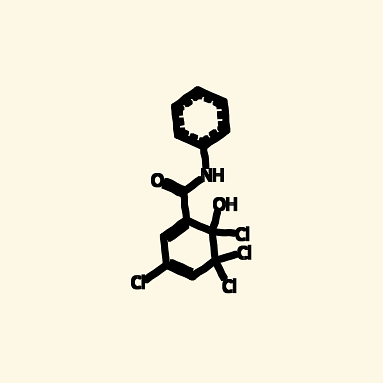 O=C(Nc1ccccc1)C1=CC(Cl)=CC(Cl)(Cl)C1(O)Cl